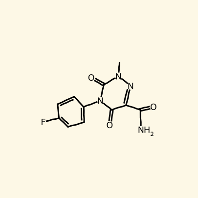 Cn1nc(C(N)=O)c(=O)n(-c2ccc(F)cc2)c1=O